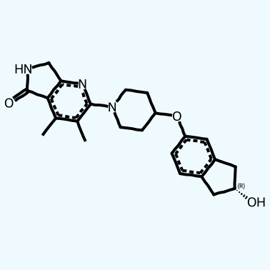 Cc1c(N2CCC(Oc3ccc4c(c3)C[C@H](O)C4)CC2)nc2c(c1C)C(=O)NC2